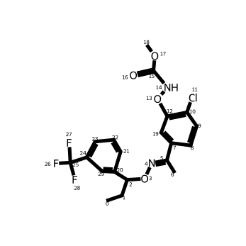 CCC(O/N=C(\C)c1ccc(Cl)c(ONC(=O)OC)c1)c1cccc(C(F)(F)F)c1